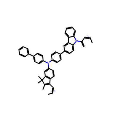 C=C(/C=C\C)n1c2ccccc2c2cc(-c3ccc(N(c4ccc(-c5ccccc5)cc4)c4ccc5c(c4)C(C)(C)C(C)=C5/C=C\C)cc3)ccc21